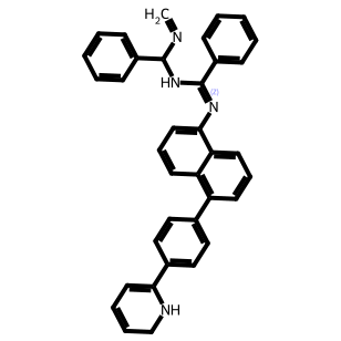 C=NC(N/C(=N\c1cccc2c(-c3ccc(C4=CC=CCN4)cc3)cccc12)c1ccccc1)c1ccccc1